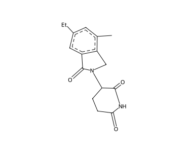 CCc1cc(C)c2c(c1)C(=O)N(C1CCC(=O)NC1=O)C2